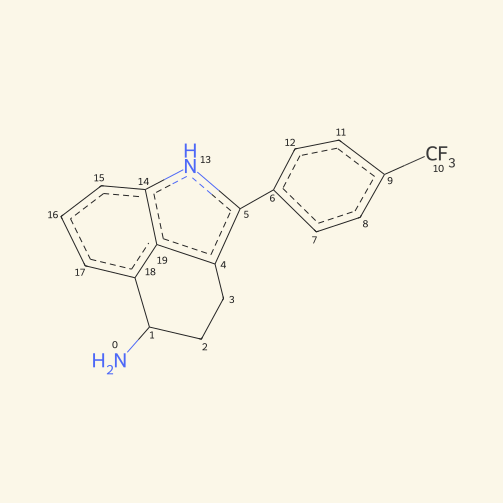 NC1CCc2c(-c3ccc(C(F)(F)F)cc3)[nH]c3cccc1c23